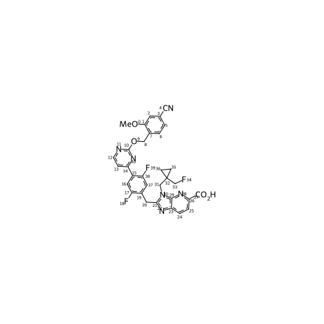 COc1cc(C#N)ccc1COc1nccc(-c2cc(F)c(Cc3nc4ccc(C(=O)O)nc4n3CC3(CF)CC3)cc2F)n1